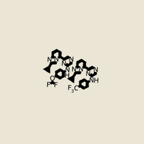 FC(F)(F)c1ccc(Nc2cncc(-c3cccc4nc(C5CC5)cn34)n2)cc1.FC(F)Oc1ccc(Nc2cncc(-c3cccc4nc(C5CC5)cn34)n2)cc1